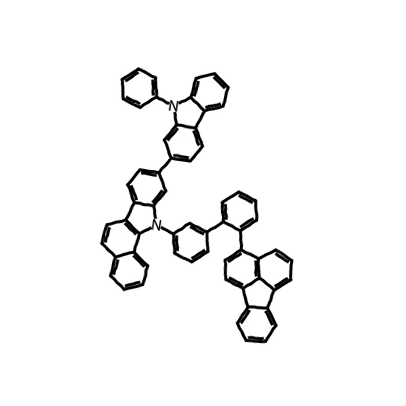 c1ccc(-n2c3ccccc3c3ccc(-c4ccc5c6ccc7ccccc7c6n(-c6cccc(-c7ccccc7-c7ccc8c9c(cccc79)-c7ccccc7-8)c6)c5c4)cc32)cc1